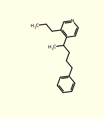 CCCc1cnccc1C(C)CCCc1ccccc1